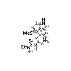 CCN(CC)C(=S)N[C@H]1CC2c3c(SC)ccc4[nH]cc(c34)C[C@H]2N(C)C1